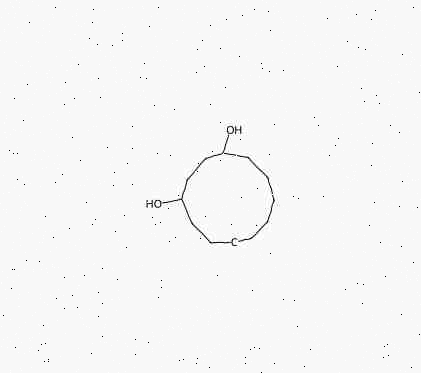 OC1CCCCCCCCC(O)CC1